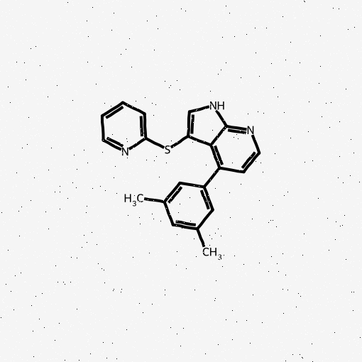 Cc1cc(C)cc(-c2ccnc3[nH]cc(Sc4ccccn4)c23)c1